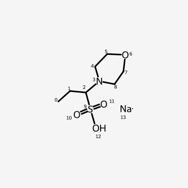 CCC(N1CCOCC1)S(=O)(=O)O.[Na]